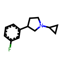 Fc1cccc(C2CCN(C3CC3)C2)c1